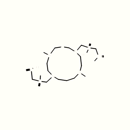 CN1CCCN(CP(=O)(O)C[PH](=O)O)CCN(C)CCCN(CP(=O)(O)C[PH](=O)O)CC1